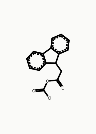 O=C(Cl)OC(=O)CC1c2ccccc2-c2ccccc21